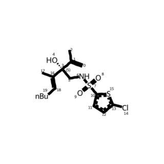 C=C(C)[C@@](O)(CNS(=O)(=O)c1ccc(Cl)s1)C(C)=CCCCC